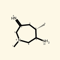 C[C@H]1CC(=N)CN(C)CC1N